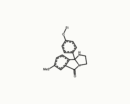 CCOc1ccc(C23NCCN2C(=O)c2cc(SC)ccc23)cc1